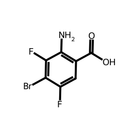 Nc1c(C(=O)O)cc(F)c(Br)c1F